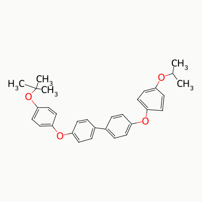 CC(C)Oc1ccc(Oc2ccc(-c3ccc(Oc4ccc(OC(C)(C)C)cc4)cc3)cc2)cc1